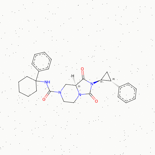 O=C(NC1(c2ccccc2)CCCCC1)N1CCN2C(=O)N([C@H]3C[C@@H]3c3ccccc3)C(=O)[C@@H]2C1